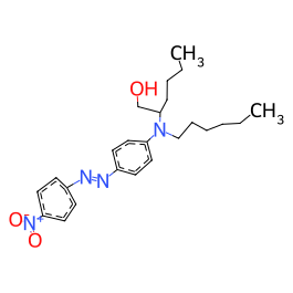 CCCCCCN(c1ccc(/N=N/c2ccc([N+](=O)[O-])cc2)cc1)C(CO)CCCC